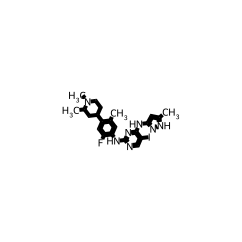 Cc1cc(Nc2nc(Nc3cc(C)c(C4CCN(C)C(C)C4)cc3F)ncc2I)n[nH]1